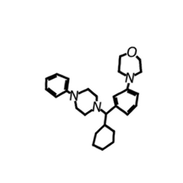 c1ccc(N2CCN(C(c3cccc(N4CCOCC4)c3)C3CCCCC3)CC2)cc1